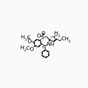 CCC=C[C@]1(CC)CS(=O)(=O)c2cc(OC)c(OC)cc2[C@H](c2ccccc2)N1